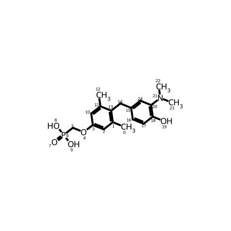 Cc1cc(OCP(=O)(O)O)cc(C)c1Cc1ccc(O)c(N(C)C)c1